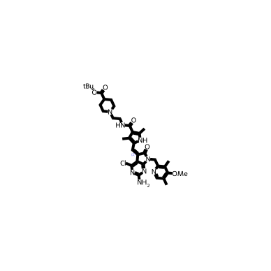 COc1c(C)cnc(CN2C(=O)/C(=C\c3[nH]c(C)c(C(=O)NCCN4CCC(C(=O)OC(C)(C)C)CC4)c3C)c3c(Cl)nc(N)nc32)c1C